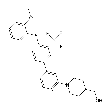 COc1ccccc1Sc1ccc(-c2ccnc(N3CCC(CO)CC3)c2)cc1C(F)(F)F